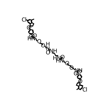 Cc1cc(Cl)cc2c1CC[C@H]2Oc1ccc(S(=O)(=O)NCCOCCOCCNC(=O)NCCCCNC(=O)NCCOCCOCCNS(=O)(=O)c2ccc(O[C@@H]3CCc4c(C)cc(Cl)cc43)cc2)cc1